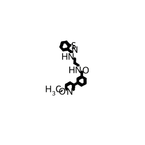 COc1ccc(-c2cccc(C(=O)NCCCNc3nsc4ccccc34)c2)cn1